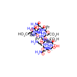 CC[C@H](C)[C@H](NC(=O)[C@H](CO)NC(=O)[C@H](C)NC(=O)[C@H](CCC(N)=O)NC(=O)[C@H](CCCCN)NC(=O)[C@@H](NC(=O)[C@H](CC(C)C)NC(=O)[C@H](CCC(=O)O)NC(=O)[C@H](CC(C)C)NC(=O)[C@H](CCC(N)=O)NC(=O)[C@H](CC(N)=O)NC(=O)[C@@H](NC(=O)[C@@H](N)CCC(=O)O)[C@@H](C)CC)[C@@H](C)CC)C(=O)O